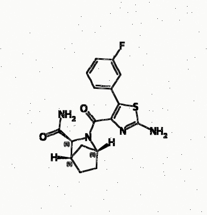 NC(=O)[C@@H]1[C@H]2CC[C@H](C2)N1C(=O)c1nc(N)sc1-c1cccc(F)c1